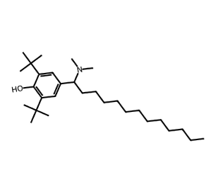 CCCCCCCCCCCCC(c1cc(C(C)(C)C)c(O)c(C(C)(C)C)c1)N(C)C